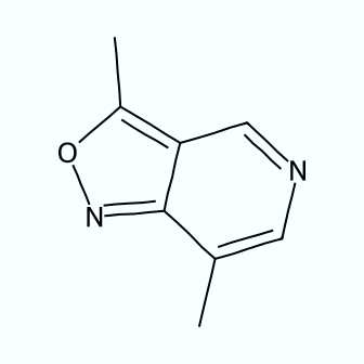 Cc1onc2c(C)cncc12